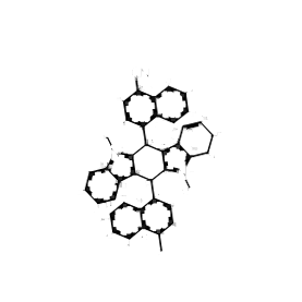 Cc1ccc(C2c3c(n(C)c4ccccc34)C(c3ccc(C#N)c4ccccc34)c3c4c(n(C)c32)CCC=C4)c2ccccc12